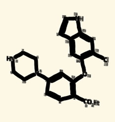 CCOC(=O)c1ccc(N2CCNCC2)cc1Oc1cc2cc[nH]c2cc1Cl